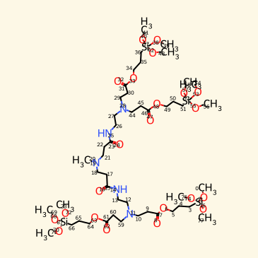 CO[Si](CCCOC(=O)CCN(CCNC(=O)CCN(C)CCC(=O)NCCN(CCC(=O)OCCC[Si](OC)(OC)OC)CCC(=O)OCCC[Si](OC)(OC)OC)CCC(=O)OCCC[Si](OC)(OC)OC)(OC)OC